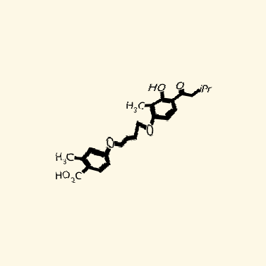 Cc1cc(OCCCCOc2ccc(C(=O)CC(C)C)c(O)c2C)ccc1C(=O)O